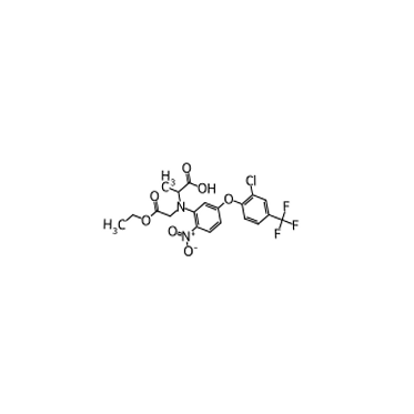 CCOC(=O)CN(c1cc(Oc2ccc(C(F)(F)F)cc2Cl)ccc1[N+](=O)[O-])C(C)C(=O)O